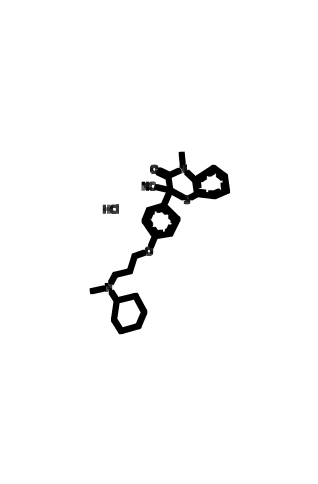 CN1C(=O)C(C#N)(c2ccc(OCCCN(C)C3CCCCC3)cc2)Sc2ccccc21.Cl